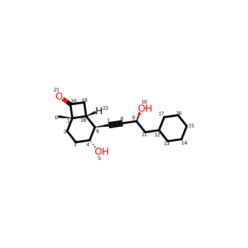 C[C@]12CC[C@@H](O)[C@H](C#C[C@@H](O)CC3CCCCC3)[C@H]1CC2=O